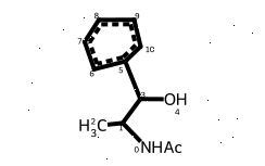 CC(=O)NC(C)C(O)c1ccccc1